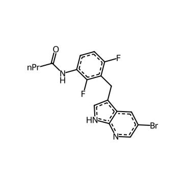 CCCC(=O)Nc1ccc(F)c(Cc2c[nH]c3ncc(Br)cc23)c1F